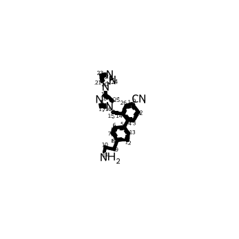 N#Cc1ccc(-c2ccc(CCN)cc2)c(Cn2cnc(-n3ccnn3)c2)c1